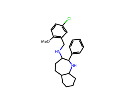 COc1ccc(Cl)cc1CNC1CCC2CCCCC2NC1c1ccccc1